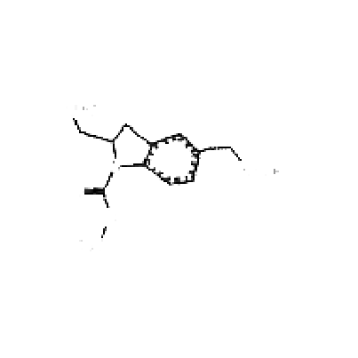 CCOC(=O)Cc1ccc2c(c1)CC(CC=O)N2C(=O)OC(C)(C)C